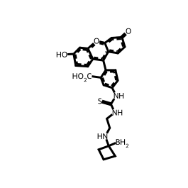 BC1(NCCNC(=S)Nc2ccc(-c3c4ccc(=O)cc-4oc4cc(O)ccc34)c(C(=O)O)c2)CCC1